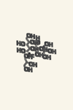 CC(=O)[C@H](O)[C@@H](O)[C@H](O)[C@H](O)CO.OCC(O)CO.OCC(O)CO.OCC(O)CO